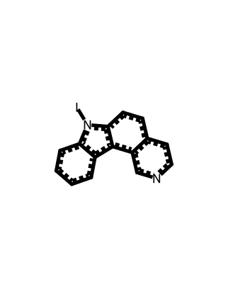 In1c2ccccc2c2c3cnccc3ccc21